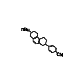 CCCCC1CCc2c(ccc3c2CCC(c2ccc(C#N)cc2)C3)C1